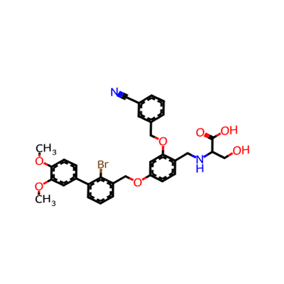 COc1ccc(-c2cccc(COc3ccc(CNC(CO)C(=O)O)c(OCc4cccc(C#N)c4)c3)c2Br)cc1OC